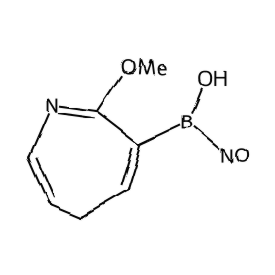 COC1=NC=CCC=C1B(O)N=O